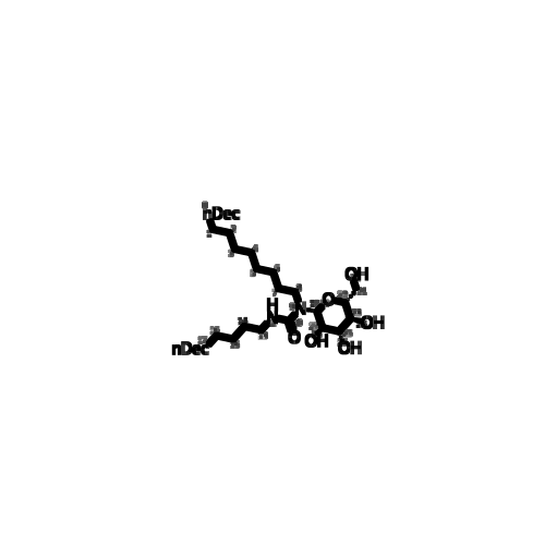 CCCCCCCCCCCCCCCCCCN(C(=O)NCCCCCCCCCCCCCC)[C@@H]1O[C@H](CO)[C@@H](O)[C@H](O)[C@H]1O